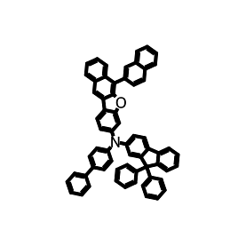 c1ccc(-c2ccc(N(c3ccc4c(c3)C(c3ccccc3)(c3ccccc3)c3ccccc3-4)c3ccc4c(c3)oc3c(-c5ccc6ccccc6c5)c5ccccc5cc34)cc2)cc1